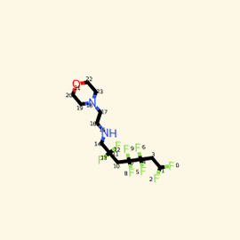 FC(F)CC(F)(F)C(F)(F)CC(F)(F)CNCCN1CCOCC1